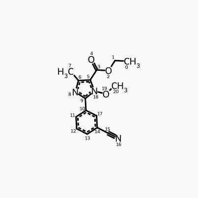 CCOC(=O)c1c(C)nc(-c2cccc(C#N)c2)n1OC